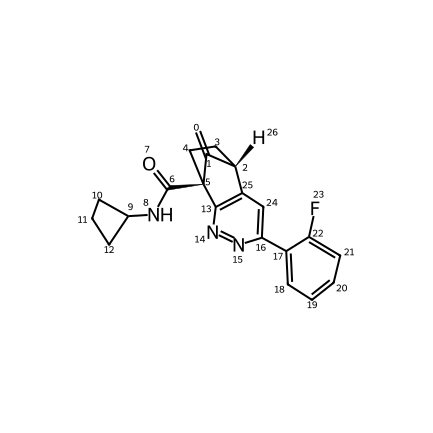 C=C1[C@@H]2CC[C@@]1(C(=O)NC1CCC1)c1nnc(-c3ccccc3F)cc12